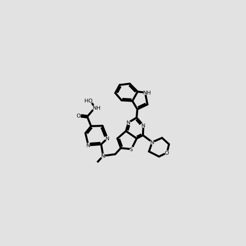 CN(Cc1cc2nc(-c3c[nH]c4ccccc34)nc(N3CCOCC3)c2s1)c1ncc(C(=O)NO)cn1